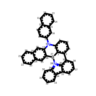 c1cc2c3c(c1)N(c1ccc4ccccc4c1)c1cc4ccccc4cc1B3n1c3ccccc3c3cccc-2c31